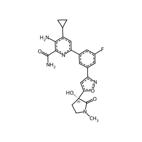 CN1CC[C@@](O)(c2cc(-c3cc(F)cc(-c4cc(C5CC5)c(N)c(C(N)=O)n4)c3)no2)C1=O